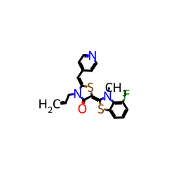 C=CCn1c(=O)/c(=C2\Sc3cccc(F)c3N2C)s/c1=C\c1ccncc1